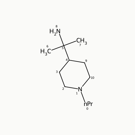 CCCN1CCC(C(C)(C)N)CC1